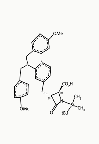 COc1ccc(CN(Cc2ccc(OC)cc2)c2cc(C[C@H]3C(=O)N([Si](C)(C)C(C)(C)C)[C@@H]3C(=O)O)ccn2)cc1